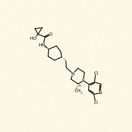 C[C@@H]1CN(CC[C@H]2CC[C@H](NC(=O)C3(O)CC3)CC2)CCN1c1cc(Cl)ncc1Cl